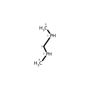 CPCPC